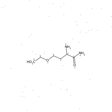 NC(=O)C(N)CCOCC(=O)O